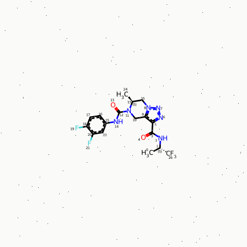 C[C@H](NC(=O)c1nnn2c1CN(C(=O)Nc1ccc(F)c(F)c1)[C@@H](C)C2)C(F)(F)F